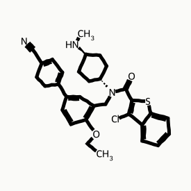 CCOc1ccc(C2=CC=C(C#N)CC2)cc1CN(C(=O)c1sc2ccccc2c1Cl)[C@H]1CC[C@H](NC)CC1